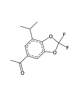 CC(=O)c1cc2c(c(C(C)C)c1)OC(F)(F)O2